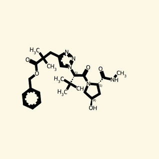 CNC(=O)[C@@H]1C[C@@H](O)CN1C(=O)[C@@H](n1cc(CC(C)(C)C(=O)OCc2ccccc2)nn1)C(C)(C)C